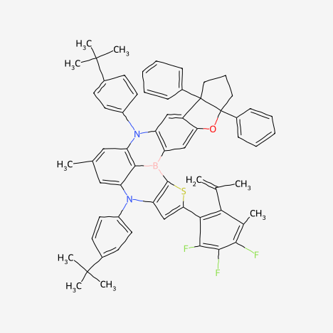 C=C(C)c1c(C)c(F)c(F)c(F)c1-c1cc2c(s1)B1c3cc4c(cc3N(c3ccc(C(C)(C)C)cc3)c3cc(C)cc(c31)N2c1ccc(C(C)(C)C)cc1)C1(c2ccccc2)CCCC1(c1ccccc1)O4